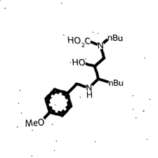 CCCCC(NCc1ccc(OC)cc1)C(O)CN(CCCC)C(=O)O